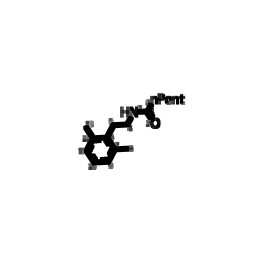 CCCCCC(=O)NCCc1c(C)cccc1C